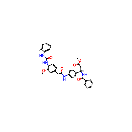 COC(=O)C[C@@H](NC(=O)c1ccccc1)c1ccc(NC(=O)Cc2ccc(NC(=O)Nc3ccccc3C)c(OC)c2)cc1